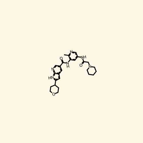 Cc1ncc(NC(=O)CN2CCCCC2)cc1NC(=O)c1cnc2[nH]c(C3CCOCC3)cc2c1